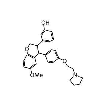 COc1ccc2c(c1)C(c1ccc(OCCN3CCCC3)cc1)C(c1cccc(O)c1)CO2